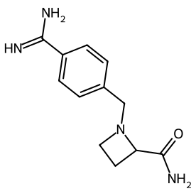 N=C(N)c1ccc(CN2CCC2C(N)=O)cc1